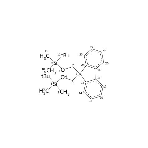 CC(C)(C)[Si](C)(C)OCC1(CO[Si](C)(C)C(C)(C)C)c2ccccc2-c2ccccc21